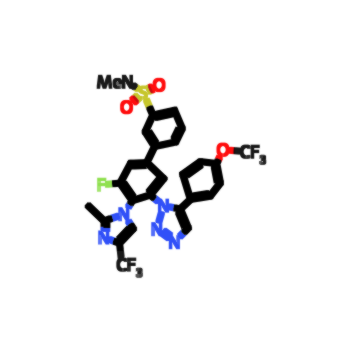 CNS(=O)(=O)c1cccc(-c2cc(F)c(-n3cc(C(F)(F)F)nc3C)c(-n3nncc3-c3ccc(OC(F)(F)F)cc3)c2)c1